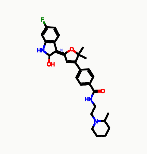 CC1CCCCN1CCNC(=O)c1ccc(C2=C/C(=C3/c4ccc(F)cc4NC3O)OC2(C)C)cc1